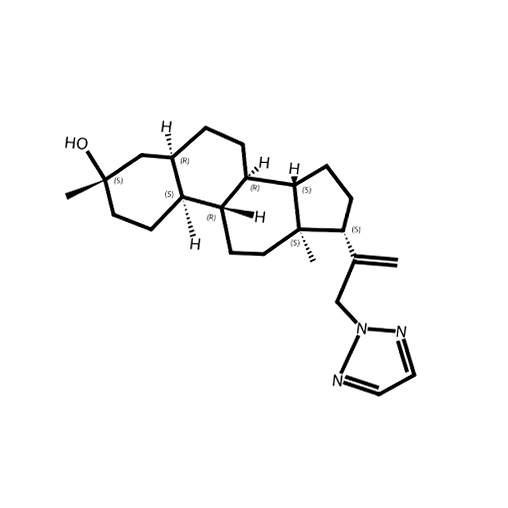 C=C(Cn1nccn1)[C@H]1CC[C@H]2[C@@H]3CC[C@@H]4C[C@@](C)(O)CC[C@@H]4[C@H]3CC[C@]12C